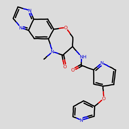 CN1C(=O)C(NC(=O)c2cc(Oc3cccnc3)ccn2)COc2cc3nccnc3cc21